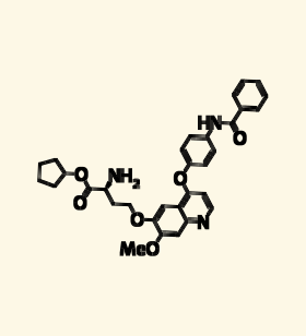 COc1cc2nccc(Oc3ccc(NC(=O)c4ccccc4)cc3)c2cc1OCC[C@H](N)C(=O)OC1CCCC1